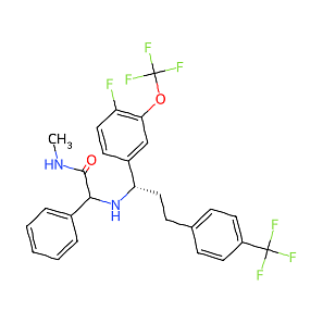 CNC(=O)C(N[C@@H](CCc1ccc(C(F)(F)F)cc1)c1ccc(F)c(OC(F)(F)F)c1)c1ccccc1